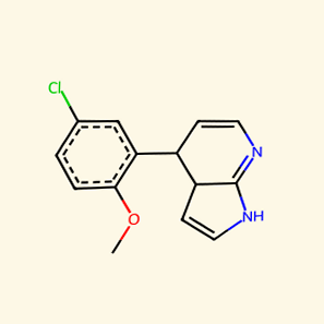 COc1ccc(Cl)cc1C1C=CN=C2NC=CC21